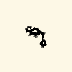 CC(C)Cc1ccc(Cn2ccnc2)cc1